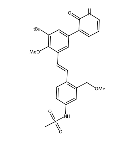 COCc1cc(NS(C)(=O)=O)ccc1/C=C/c1cc(-c2ccc[nH]c2=O)cc(C(C)(C)C)c1OC